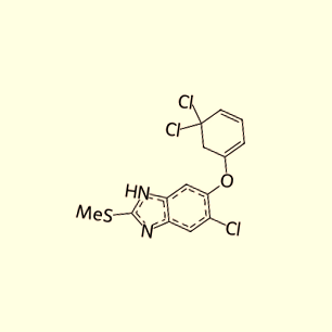 CSc1nc2cc(Cl)c(OC3=CC=CC(Cl)(Cl)C3)cc2[nH]1